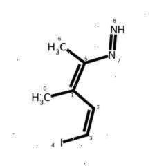 CC(/C=C\I)=C(\C)N=N